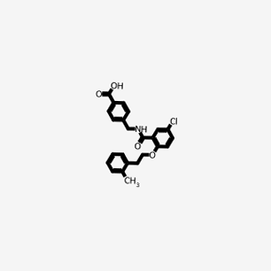 Cc1ccccc1CCOc1ccc(Cl)cc1C(=O)NCc1ccc(C(=O)O)cc1